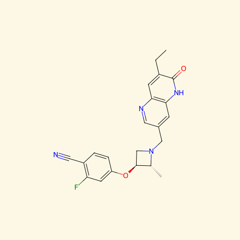 CCc1cc2ncc(CN3C[C@H](Oc4ccc(C#N)c(F)c4)[C@H]3C)cc2[nH]c1=O